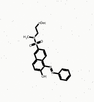 CCCCCCCCCCCCN(C)S(=O)(=O)c1ccc2c(N=Nc3ccccc3)c(O)ccc2c1